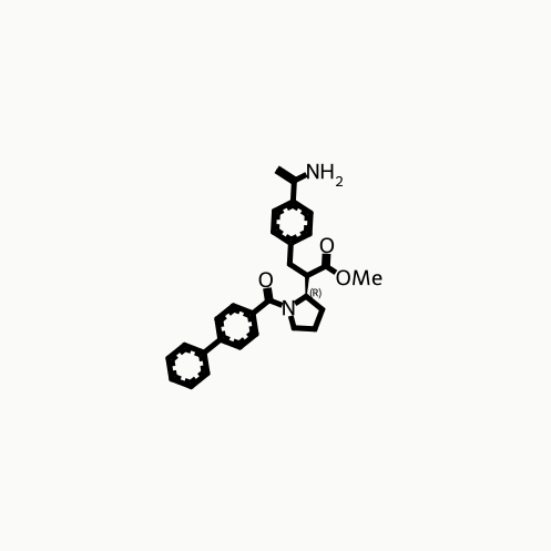 C=C(N)c1ccc(CC(C(=O)OC)[C@H]2CCCN2C(=O)c2ccc(-c3ccccc3)cc2)cc1